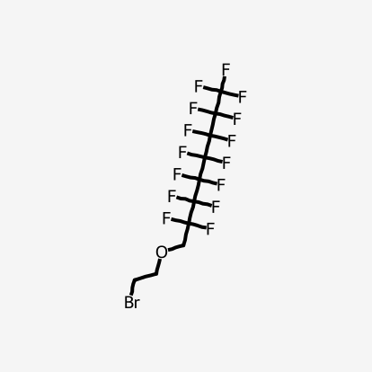 FC(F)(F)C(F)(F)C(F)(F)C(F)(F)C(F)(F)C(F)(F)C(F)(F)COCCBr